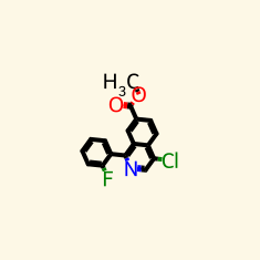 COC(=O)c1ccc2c(Cl)cnc(-c3ccccc3F)c2c1